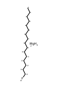 CCCCCCCCCCCCCCCCF.[MgH2]